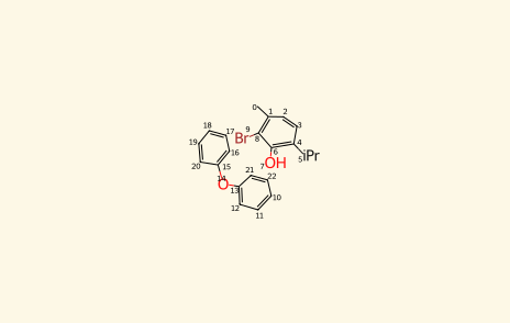 Cc1ccc(C(C)C)c(O)c1Br.c1ccc(Oc2ccccc2)cc1